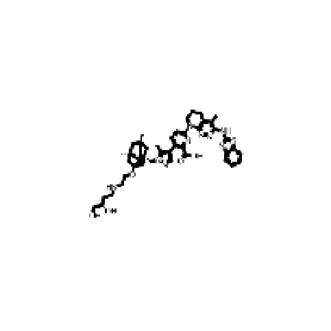 Cc1c(Nc2nc3ccccc3s2)nnc2c1CCCN2c1ccc(-c2cnn(C[C@]34C[C@]5(C)C[C@](C)(C3)C[C@@](OCCNCC[C@H](O)CO)(C5)C4)c2C)c(C(=O)O)n1